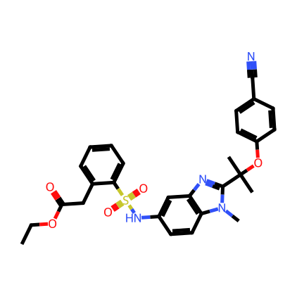 CCOC(=O)Cc1ccccc1S(=O)(=O)Nc1ccc2c(c1)nc(C(C)(C)Oc1ccc(C#N)cc1)n2C